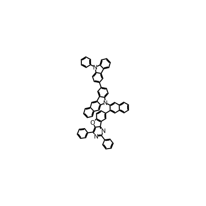 c1ccc(-c2nc(-c3ccccc3)c3oc4ccc(-c5cc6ccccc6cc5-n5c6ccc(-c7ccc8c(c7)c7ccccc7n8-c7ccccc7)cc6c6cc7ccccc7cc65)cc4c3n2)cc1